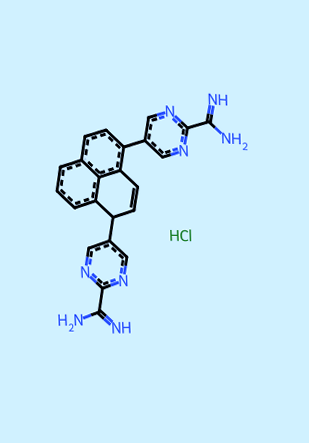 Cl.N=C(N)c1ncc(-c2ccc3cccc4c3c2C=CC4c2cnc(C(=N)N)nc2)cn1